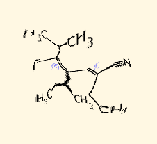 CC/C(C#N)=C\C(=C(\F)C(C)C)C(C)C